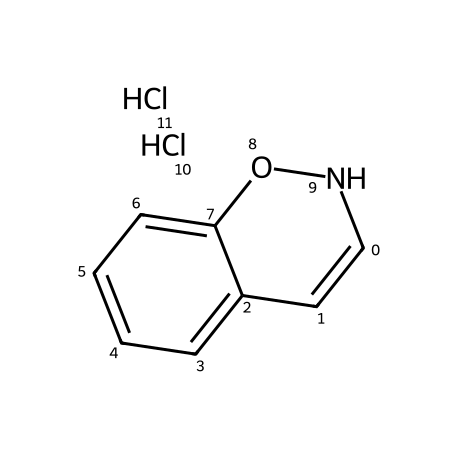 C1=Cc2ccccc2ON1.Cl.Cl